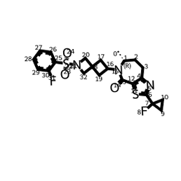 C[C@@H]1CCc2nc(C3(F)CC3)sc2C(=O)N1C1CC2(C1)CN(S(=O)(=O)c1ccccc1F)C2